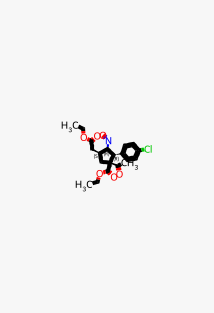 CCOC(=O)C[C@@H]1C[C@@](C(C)=O)(C(=O)OCC)[C@@H](c2ccc(Cl)cc2)[C@@H]1N=O